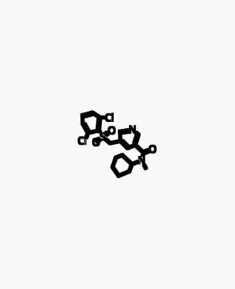 CN(C(=O)c1cncc(CS(=O)(=O)c2c(Cl)cccc2Cl)c1)C1CCCCC1